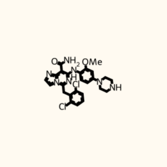 COc1cc(N2CCNCC2)ccc1Nc1nc(Cc2c(Cl)cccc2Cl)n2ccnc2c1C(N)=O